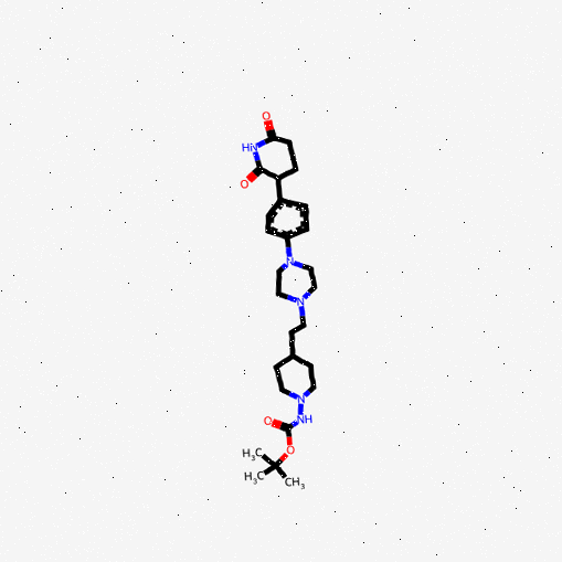 CC(C)(C)OC(=O)NN1CCC(CCN2CCN(c3ccc(C4CCC(=O)NC4=O)cc3)CC2)CC1